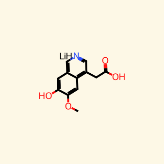 COc1cc2c(CC(=O)O)cncc2cc1O.[LiH]